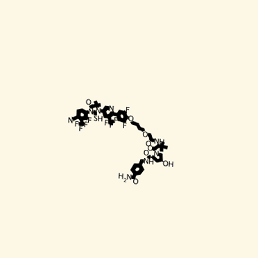 CC(C)(C)[C@H](NC(=O)COCCCCOc1c(F)cc(-c2ncc(N3C(S)N(c4ccc(C#N)c(C(F)(F)F)c4F)C(=O)C3(C)C)cc2C(F)(F)F)cc1F)C(=O)N1C[C@H](O)C[C@H]1C(=O)NCc1ccc(C(N)=O)cc1